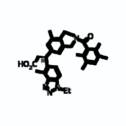 CCn1nnc2c(C)c([C@@H](CC(=O)O)c3cc(C)c4c(c3)CN(C(=O)c3c(C)c(C)cc(C)c3C)CC4)ccc21